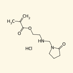 C=C(C)C(=O)OCCNCN1CCCC1=O.Cl